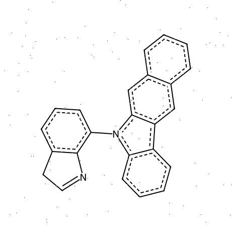 C1=Nc2c(cccc2-n2c3ccccc3c3cc4ccccc4cc32)C1